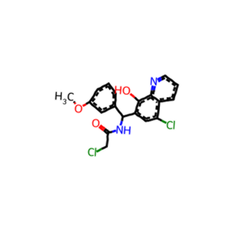 COc1cccc(C(NC(=O)CCl)c2cc(Cl)c3cccnc3c2O)c1